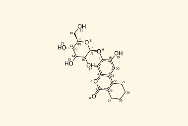 O=c1oc2cc(O[C@@H]3O[C@H](CO)[C@@H](O)C(O)C3O)c(O)cc2c2c1CCCC2